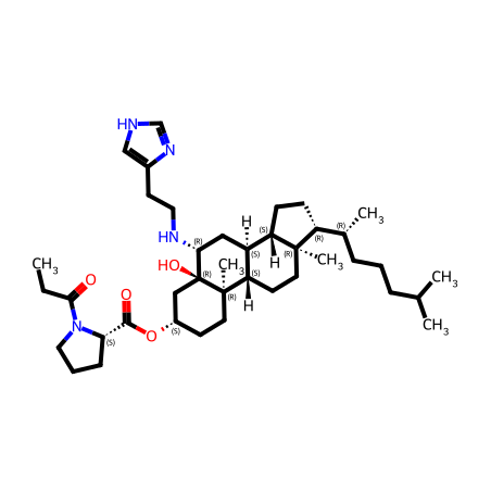 CCC(=O)N1CCC[C@H]1C(=O)O[C@H]1CC[C@]2(C)[C@H]3CC[C@]4(C)[C@@H]([C@H](C)CCCC(C)C)CC[C@H]4[C@@H]3C[C@@H](NCCc3c[nH]cn3)[C@@]2(O)C1